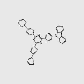 c1ccc(-c2ccc(-c3nc(-c4ccc(-c5ccccc5)cc4)nc(-c4ccc(-n5c6ccccc6c6ccccc65)cc4)n3)cc2)cc1